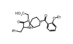 CCOc1ccccc1C(=O)N1CCC2(CC1)NC(CC(C)C)C(=O)N2CC(=O)O